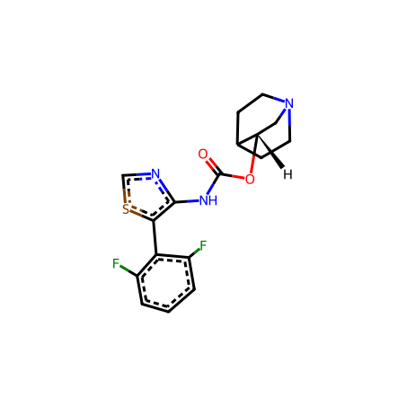 O=C(Nc1ncsc1-c1c(F)cccc1F)O[C@H]1CN2CCC1CC2